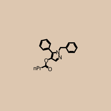 CCCC(=O)Oc1cnn(Cc2ccccc2)c1-c1ccccc1